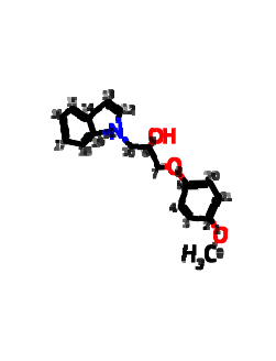 COc1ccc(OCC(O)Cn2ccc3ccccc32)cc1